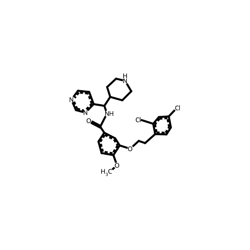 COc1ccc(C(=O)NC(c2ccncn2)C2CCNCC2)cc1OCCc1ccc(Cl)cc1Cl